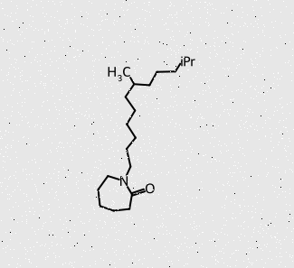 CC(C)CCCC(C)CCCCCCN1CCCCCC1=O